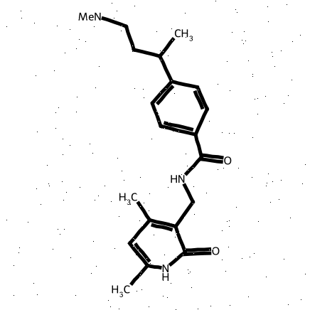 CNCCC(C)c1ccc(C(=O)NCc2c(C)cc(C)[nH]c2=O)cc1